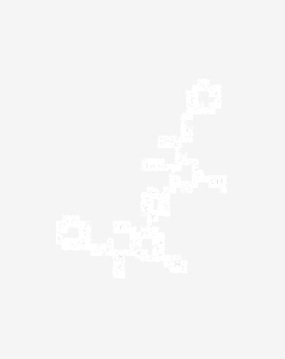 Cc1cc(C(=O)OCc2ccccc2)c(O)c(-c2ccc(-c3cc(C)cc(C(=O)OCc4ccccc4)c3O)s2)c1